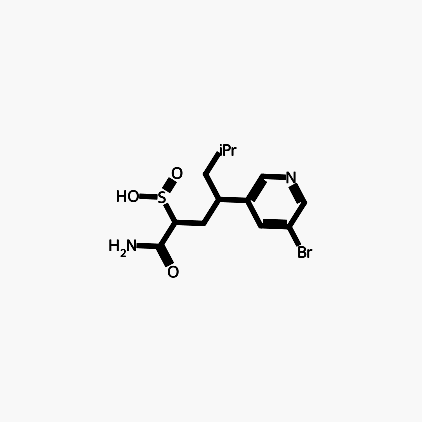 CC(C)CC(CC(C(N)=O)S(=O)O)c1cncc(Br)c1